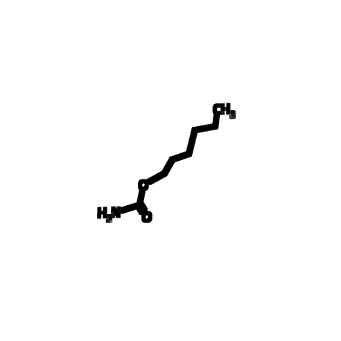 CCCCCCOC(N)=O